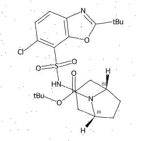 CC(C)(C)OC(=O)N1[C@@H]2CC[C@H]1CC(NS(=O)(=O)c1c(Cl)ccc3nc(C(C)(C)C)oc13)C2